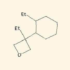 CCC1CCCCC1C1(CC)COC1